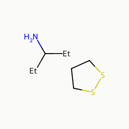 C1CSSC1.CCC(N)CC